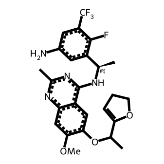 COc1cc2nc(C)nc(N[C@H](C)c3cc(N)cc(C(F)(F)F)c3F)c2cc1OC(C)C1=CCCO1